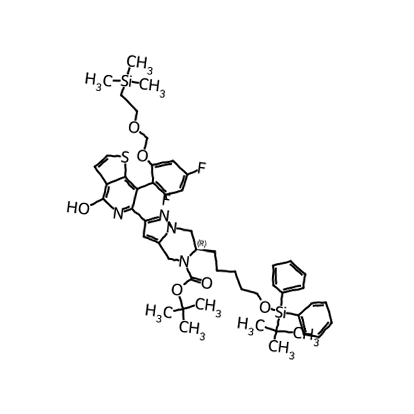 CC(C)(C)OC(=O)N1Cc2cc(-c3nc(O)c4ccsc4c3-c3c(F)cc(F)cc3OCOCC[Si](C)(C)C)nn2C[C@H]1CCCCCO[Si](c1ccccc1)(c1ccccc1)C(C)(C)C